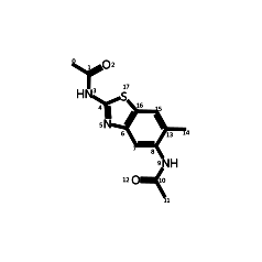 CC(=O)Nc1nc2cc(NC(C)=O)c(C)cc2s1